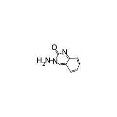 Nn1cc2ccccc2nc1=O